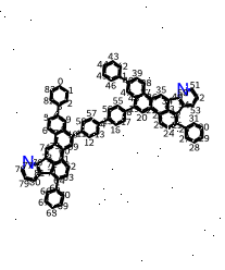 c1ccc(-c2ccc3c(c2)c(-c2ccc(-c4ccc(-c5cc6c7ccc(-c8ccccc8)c8c7c(cc6c6ccc(-c7ccccc7)cc56)-c5ncccc5-8)cc4)cc2)cc2c4ccc(-c5ccccc5)c5c4c(cc32)-c2ncccc2-5)cc1